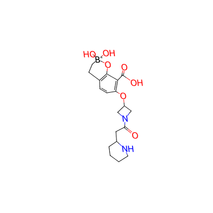 O=C(O)c1c(OC2CN(C(=O)CC3CCCCN3)C2)ccc2c1O[B-](O)(O)CC2